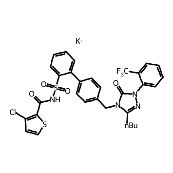 CCCCc1nn(-c2ccccc2C(F)(F)F)c(=O)n1Cc1ccc(-c2ccccc2S(=O)(=O)NC(=O)c2sccc2Cl)cc1.[K]